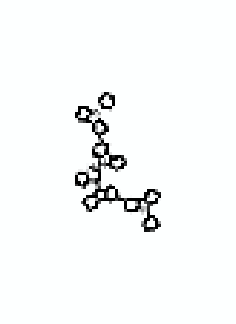 c1ccc(-n2c3ccccc3c3cc(-c4ccc5c(c4)-c4ccccc4C5c4cc(-n5c6ccccc6c6cc(-c7ccc8c(c7)c7ccccc7n8-c7ccccc7)ccc65)nc5ccccc45)ccc32)cc1